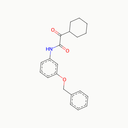 O=C(Nc1cccc(OCc2ccccc2)c1)C(=O)C1CCCCC1